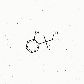 CC(C)(CO)c1ccccc1S